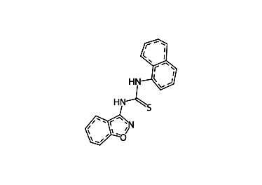 S=C(Nc1cccc2ccccc12)Nc1noc2ccccc12